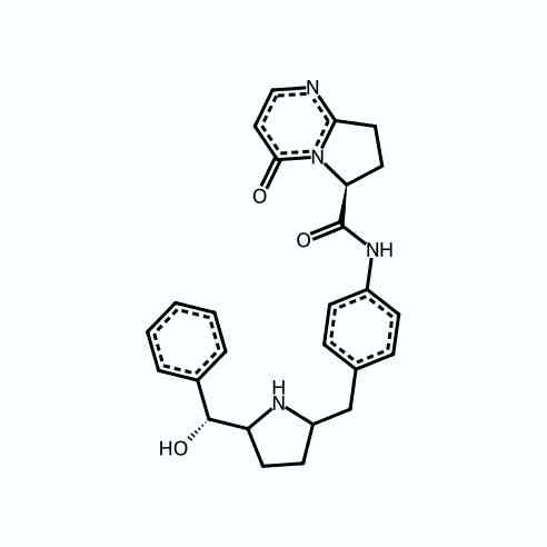 O=C(Nc1ccc(CC2CCC([C@H](O)c3ccccc3)N2)cc1)[C@@H]1CCc2nccc(=O)n21